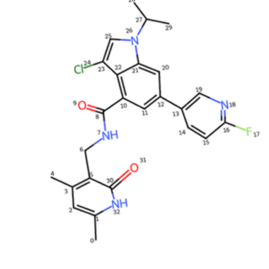 Cc1cc(C)c(CNC(=O)c2cc(-c3ccc(F)nc3)cc3c2c(Cl)cn3C(C)C)c(=O)[nH]1